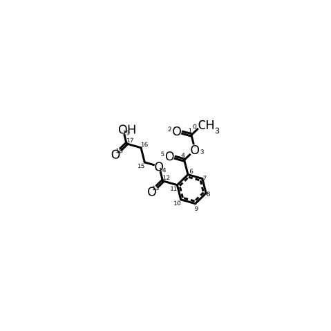 CC(=O)OC(=O)c1ccccc1C(=O)OCCC(=O)O